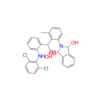 [CH2]c1cccc(N2C(O)c3ccccc3C2O)c1C(C(=O)O)c1ccccc1Nc1c(Cl)cccc1Cl